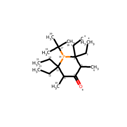 CCC1(CC)C(C)C(=O)C(C)C(CC)(CC)P1C(C)(C)C